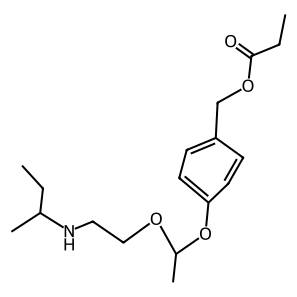 CCC(=O)OCc1ccc(OC(C)OCCNC(C)CC)cc1